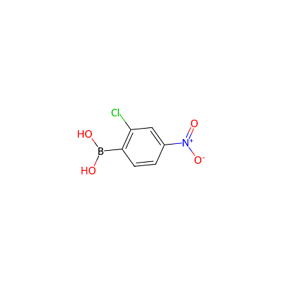 O=[N+]([O-])c1ccc(B(O)O)c(Cl)c1